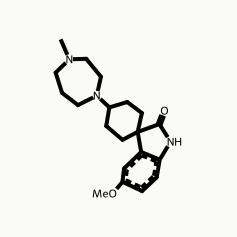 COc1ccc2c(c1)C1(CCC(N3CCCN(C)CC3)CC1)C(=O)N2